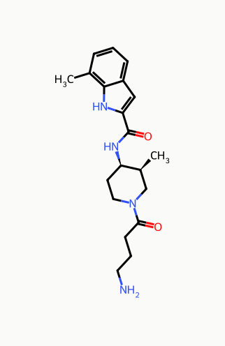 Cc1cccc2cc(C(=O)N[C@@H]3CCN(C(=O)CCCN)C[C@@H]3C)[nH]c12